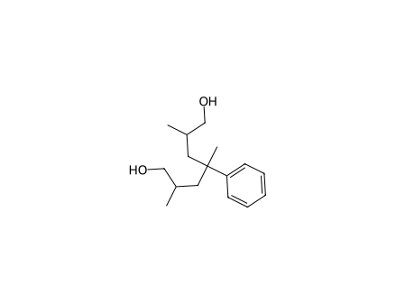 CC(CO)CC(C)(CC(C)CO)c1ccccc1